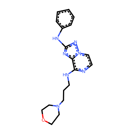 c1ccc(Nc2nc3c(NCCCN4CCOCC4)nccn3n2)cc1